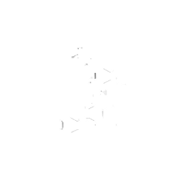 Cc1c(F)cc(-c2cccc(F)c2)cc1CNc1c(F)ccc(OCC(=O)O)c1F